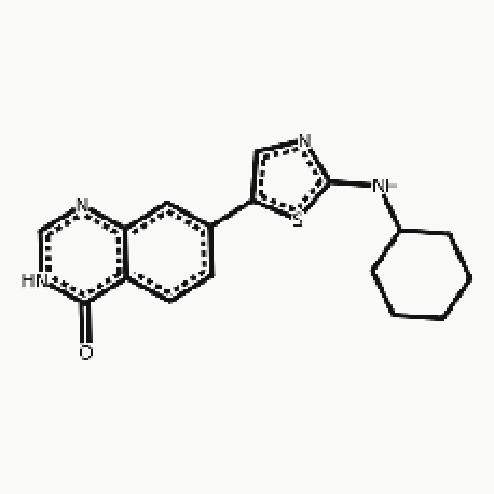 O=c1[nH]cnc2cc(-c3cnc(NC4CCCCC4)s3)ccc12